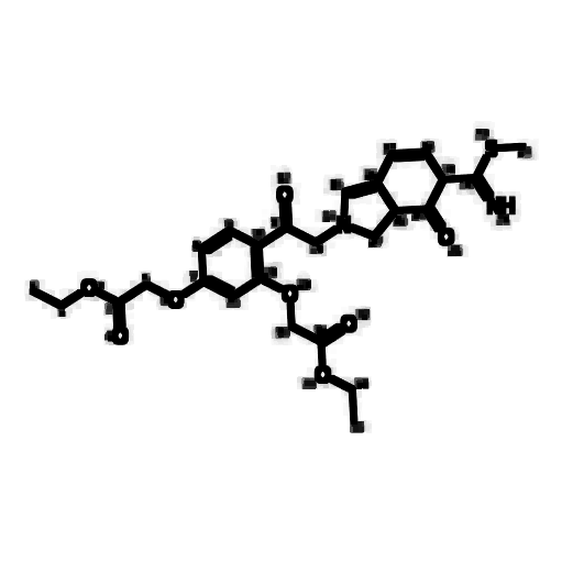 CCOC(=O)COc1ccc(C(=O)CN2C=C3C=CC(C(=N)SC)C(=O)C3C2)c(OCC(=O)OCC)c1